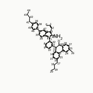 C/C=C\c1c(N)n(-c2cccc(C3c4ccc(CCCC)cc4-c4cc(C)ccc4C3C)c2)c2ccc(-c3ccc(CCCC)cc3)cc12